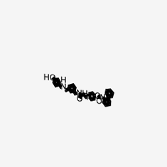 O=C(CCN1CCC(OC(=O)Nc2ccccc2-c2ccccc2)CC1)NCc1cccc(CNCc2ccc(O)cc2)c1